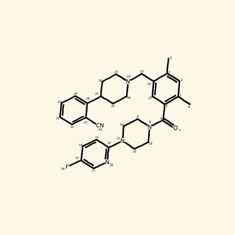 Cc1cc(C)c(C(=O)N2CCN(c3ccc(F)cn3)CC2)cc1CN1CCC(c2ccccc2C#N)CC1